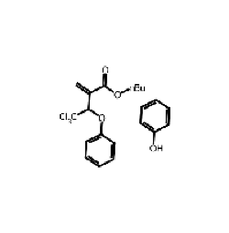 C=C(C(=O)OCCCC)C(Oc1ccccc1)C(Cl)(Cl)Cl.Oc1ccccc1